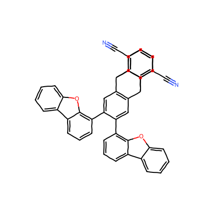 N#Cc1cccc2c1C1c3cc(-c4cccc5c4oc4ccccc45)c(-c4cccc5c4oc4ccccc45)cc3C2c2c(C#N)cccc21